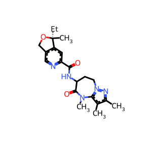 CC[C@@]1(C)OCc2cnc(C(=O)NC3CCn4nc(C)c(C)c4N(C)C3=O)cc21